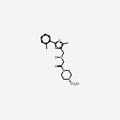 CCOC(=O)N1CCN(C(=O)C[S+]([O-])Cc2nc(-c3ccccc3C)oc2C)CC1